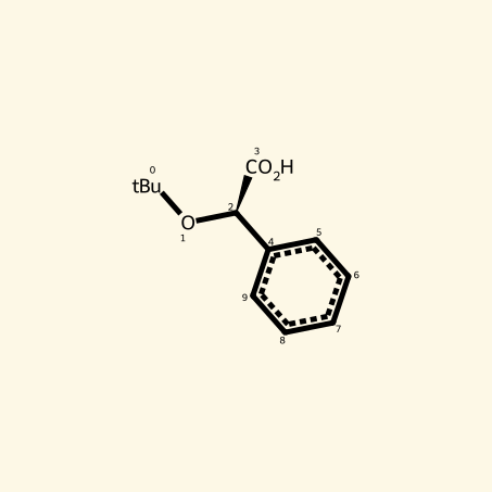 CC(C)(C)O[C@@H](C(=O)O)c1ccccc1